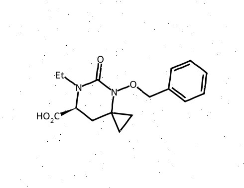 CCN1C(=O)N(OCc2ccccc2)C2(CC2)C[C@H]1C(=O)O